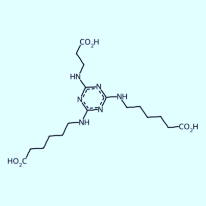 O=C(O)CCCCCNc1nc(NCCCCCC(=O)O)nc(NCCC(=O)O)n1